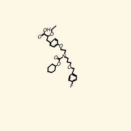 CCOC(Cc1ccc(OCCN(CCCOCc2ccc(F)cc2)C(=O)OC2CCCCC2)cc1)C(=O)O